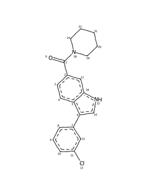 O=C(c1ccc2c(-c3cccc(Cl)c3)c[nH]c2c1)N1CCCCC1